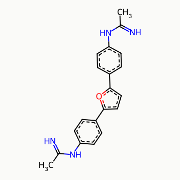 CC(=N)Nc1ccc(-c2ccc(-c3ccc(NC(C)=N)cc3)o2)cc1